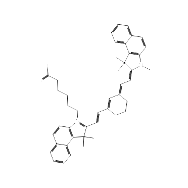 CN1/C(=C/C=C2C=C(/C=C/C3=[N+](CCCCCC(=O)C(C)(C)C)c4ccc5ccccc5c4C3(C)C)CCC/2)C(C)(C)c2c1ccc1ccccc21